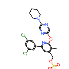 Cc1c(COS(C)(=O)=O)cc(-c2cc(Cl)cc(Cl)c2)nc1Oc1cnc(N2CCCCC2)cn1